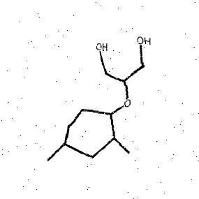 CC1CCC(OC(CO)CO)C(C)C1